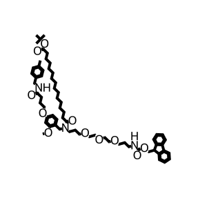 COc1cc(OCCCC(=O)NCc2ccc(C)cc2)ccc1CN(CCCOCCOCCOCCCNC(=O)OCC1c2ccccc2-c2ccccc21)C(=O)CCCCCCCCCCCCCCC(=O)OC(C)(C)C